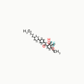 CCCCCC1CCC(c2ccc(CC(=O)c3ccc(OCC)c(C(F)(F)F)c3O)cc2)CC1